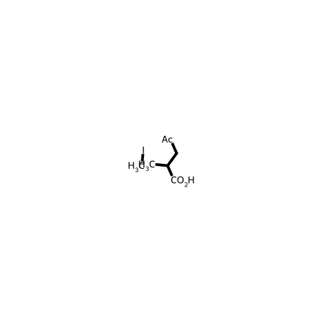 CC(=O)CC(C)C(=O)O.CI